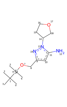 CC(C)(C)[Si](C)(C)OCc1cc(N)n(C2CCOC2)n1